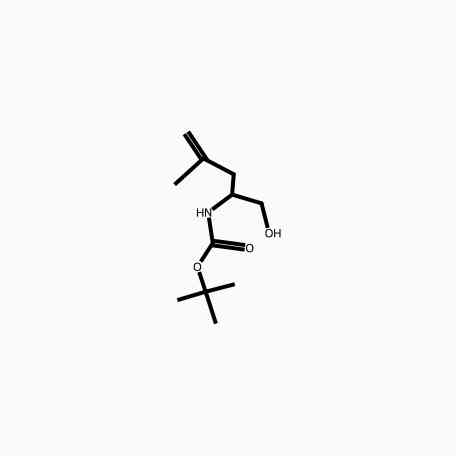 C=C(C)CC(CO)NC(=O)OC(C)(C)C